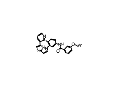 Cc1ccc(NC(=O)c2cccc(OC(C)C)c2)cc1-n1ccc2ncc(-c3cccnc3)n21